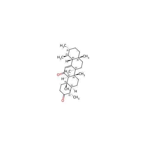 C[C@H]1[C@H](C)CC[C@]2(C)CC[C@]3(C)C(=CC(=O)[C@@H]4[C@@]5(C)CCC(=O)[C@@H](C)[C@@H]5CC[C@]43C)[C@H]12